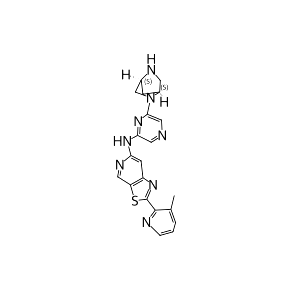 Cc1cccnc1-c1nc2cc(Nc3cncc(N4C[C@@H]5C[C@H]4CN5)n3)ncc2s1